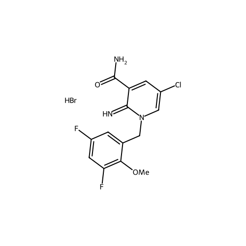 Br.COc1c(F)cc(F)cc1Cn1cc(Cl)cc(C(N)=O)c1=N